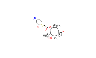 C=C[C@]1(C)C[C@@H](OC(=O)CS[C@@H]2CC[C@@H](N)C[C@H]2O)[C@H](C)C(C)CC23C[C@@]2(CCC3=O)[C@@H](C)[C@@H]1O